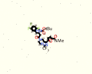 CNC(=O)c1ccc(-c2nc(C(F)(F)F)n3c2CN(C(=O)CC(Cc2cc(F)c(F)cc2F)NC(=O)OC(C)(C)C)CC3)o1